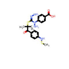 CSNc1ccc(C(=O)C(C)(C)S/C(=N/N)N(N)c2ccc(C(=O)O)cc2)cc1